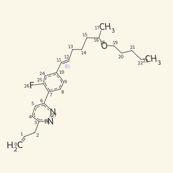 C=CCc1ccc(-c2ccc(/C=C/CCCC(C)OCCCCC)cc2F)nn1